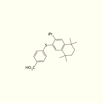 CC(C)c1cc2c(cc1Sc1ccc(C(=O)O)cc1)C(C)(C)CCC2(C)C